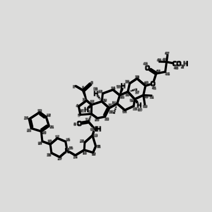 C=C(C)[C@@H]1CC[C@]2(C(=O)NC3CCC(CN4CCC(Cc5ccccc5)CC4)C3)CC=C3[C@H](CC[C@@H]4[C@@]5(C)CCC(OC(=O)CC(C)(C)C(=O)O)C(C)(C)[C@@H]5CC[C@@]34C)[C@@H]12